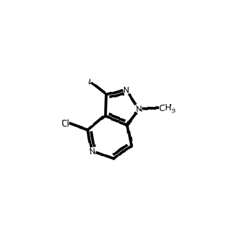 Cn1nc(I)c2c(Cl)nccc21